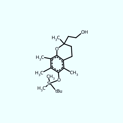 Cc1c(C)c2c(c(C)c1O[Si](C)(C)C(C)(C)C)CCC(C)(CCO)O2